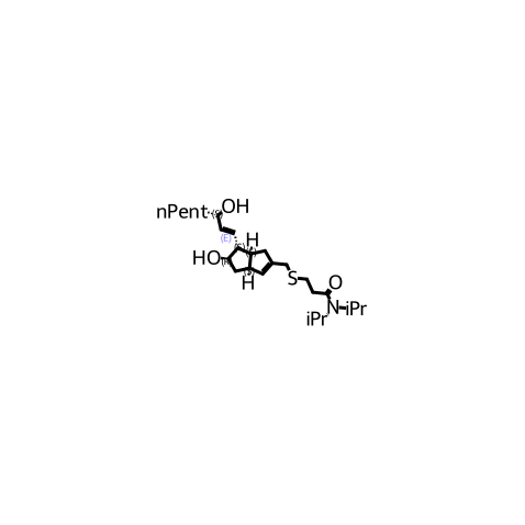 CCCCC[C@H](O)/C=C/[C@@H]1[C@H]2CC(CSCCC(=O)N(C(C)C)C(C)C)=C[C@H]2C[C@H]1O